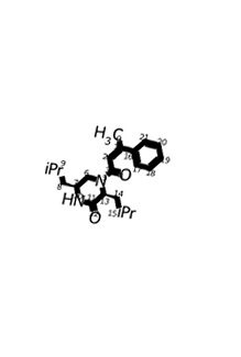 CC(=CC(=O)N1C[C@H](CC(C)C)NC(=O)[C@@H]1CC(C)C)c1ccccc1